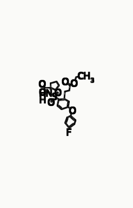 CCOC(=O)CCc1cc(Oc2ccc(F)cc2)ccc1S(=O)(=O)NC1(C(=O)O)CCCC1